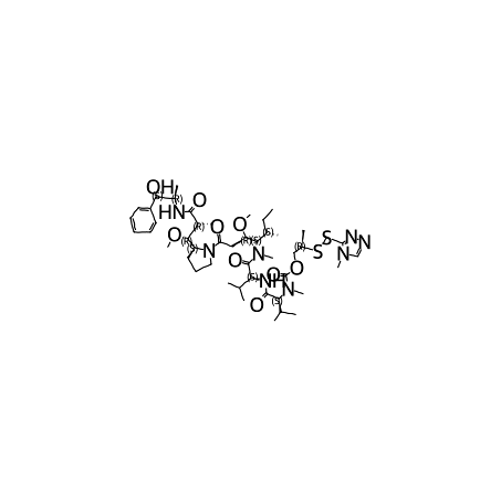 CC[C@H](C)[C@@H]([C@@H](CC(=O)N1CCC[C@H]1[C@H](OC)[C@@H](C)C(=O)N[C@H](C)[C@@H](O)c1ccccc1)OC)N(C)C(=O)[C@@H](NC(=O)[C@H](C(C)C)N(C)C(=O)OC[C@@H](C)SSc1nncn1C)C(C)C